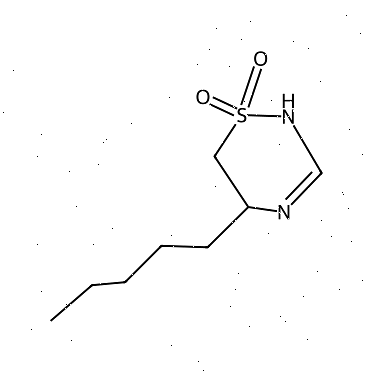 CCCCCC1CS(=O)(=O)NC=N1